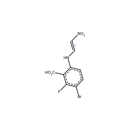 O=C(O)c1c(N/C=C/[N+](=O)[O-])ccc(Br)c1F